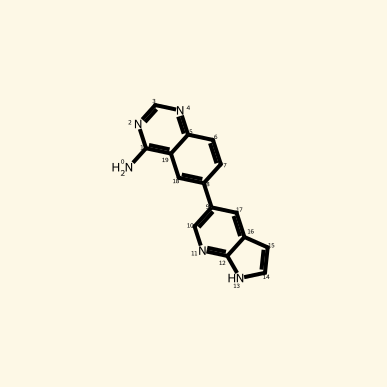 Nc1ncnc2ccc(-c3cnc4[nH]ccc4c3)cc12